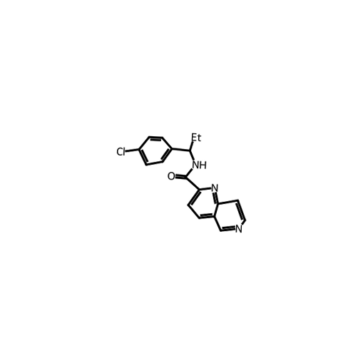 CCC(NC(=O)c1ccc2cnccc2n1)c1ccc(Cl)cc1